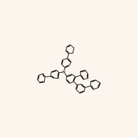 C1=CCCC(c2ccc(N(c3ccc(-c4ccccc4)cc3)c3ccc(-c4cccc(-c5ccccc5)c4)c(-c4ccccc4)c3)cc2)=C1